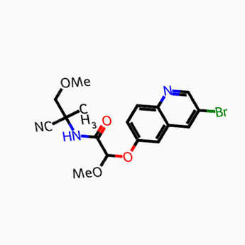 COCC(C)(C#N)NC(=O)C(OC)Oc1ccc2ncc(Br)cc2c1